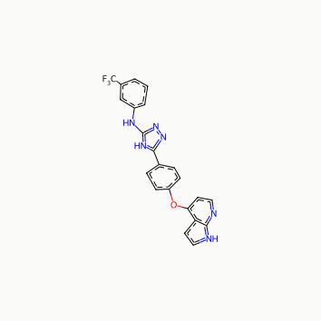 FC(F)(F)c1cccc(Nc2nnc(-c3ccc(Oc4ccnc5[nH]ccc45)cc3)[nH]2)c1